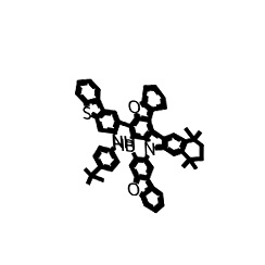 CC(C)(C)c1ccc(Nc2cc3sc4ccccc4c3cc2-c2c3c4c(c5cc6c(cc5n4-c4cc5c(cc4B3)oc3ccccc35)C(C)(C)CCC6(C)C)c3c2oc2ccccc23)cc1